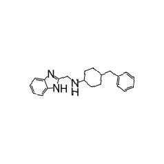 c1ccc(CC2CCC(NCc3nc4ccccc4[nH]3)CC2)cc1